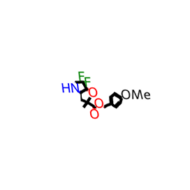 COc1ccc(COC(=O)C(C)(C)C[C@H]2NCC(F)(F)C2=O)cc1